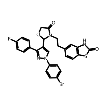 O=C1COC(c2cn(-c3ccc(Br)cc3)nc2-c2ccc(F)cc2)N1CCc1ccc2sc(=O)[nH]c2c1